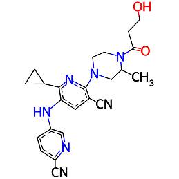 CC1CN(c2nc(C3CC3)c(Nc3ccc(C#N)nc3)cc2C#N)CCN1C(=O)CCO